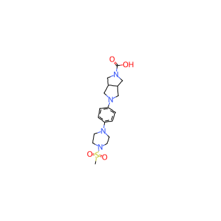 CS(=O)(=O)N1CCN(c2ccc(N3CC4CN(C(=O)O)CC4C3)cc2)CC1